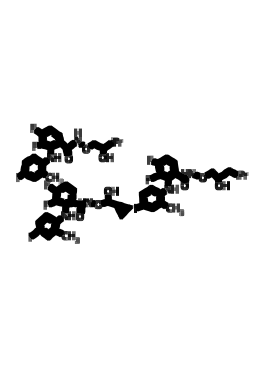 Cc1cc(I)ccc1Nc1c(C(=O)NOC(O)C2CC2)ccc(F)c1F.Cc1cc(I)ccc1Nc1c(C(=O)NOCC(O)C(C)C)ccc(F)c1F.Cc1cc(I)ccc1Nc1c(C(=O)NOCC(O)CC(C)C)ccc(F)c1F